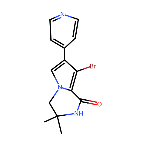 CC1(C)Cn2cc(-c3ccncc3)c(Br)c2C(=O)N1